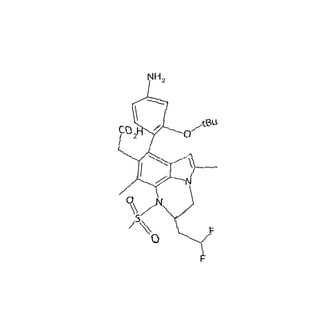 Cc1c(CC(=O)O)c(-c2ccc(N)cc2OC(C)(C)C)c2cc(C)n3c2c1N(S(C)(=O)=O)C(CC(F)F)C3